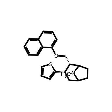 CN1C2CCC1[C@@H](COc1cccc3ccccc13)[C@H](c1cccs1)C2